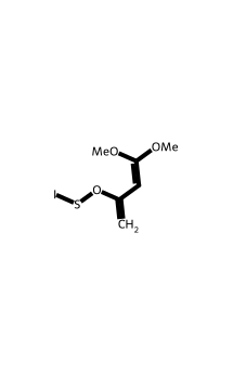 C=C(C=C(OC)OC)OSI